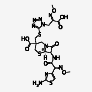 CON=C(Cn1nnnc1SCC1(C(=O)O)CS[C@@H]2C(NC(=O)C(=NOC)c3csc(N)n3)C(=O)N2C1)C(=O)O